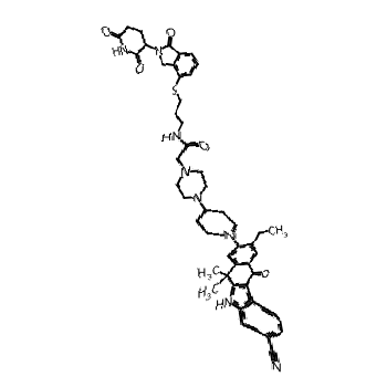 CCc1cc2c(cc1N1CCC(N3CCN(CC(=O)NCCCSc4cccc5c4CN(C4CCC(=O)NC4=O)C5=O)CC3)CC1)C(C)(C)c1[nH]c3cc(C#N)ccc3c1C2=O